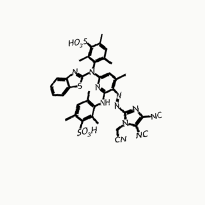 [C-]#[N+]c1nc(N=Nc2c(C)cc(N(c3nc4ccccc4s3)c3c(C)cc(C)c(S(=O)(=O)O)c3C)nc2Nc2c(C)cc(C)c(S(=O)(=O)O)c2C)n(CC#N)c1[N+]#[C-]